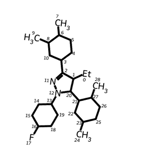 CCC1C(C2CCC(C)C(C)C2)=NN(C2CCC(F)CC2)C1C1CC(C)CCC1C